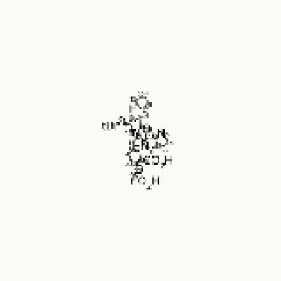 CC(C)(C)OC(=O)N[C@@H](Cc1ccccc1)C(=O)N[C@@H](Cc1ccc(OCC(=O)O)c(C(=O)O)c1)C(=O)NCc1cccnc1